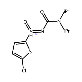 CC(C)N(C(=O)/N=[SH](=O)/c1ccc(Cl)s1)C(C)C